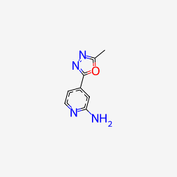 Cc1nnc(-c2ccnc(N)c2)o1